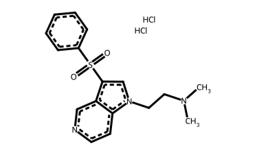 CN(C)CCn1cc(S(=O)(=O)c2ccccc2)c2cnccc21.Cl.Cl